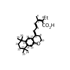 CCC(C(=O)O)=C(C)C=CC=C1CCOc2cc3c(cc21)C(C)(C)CCC3(C)C